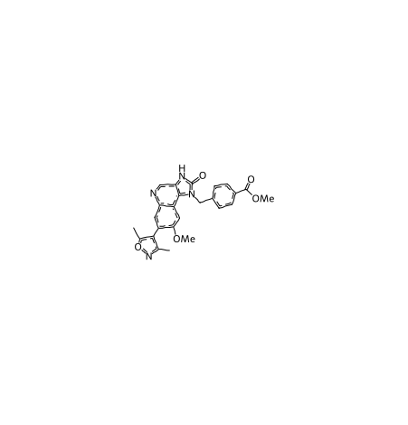 COC(=O)c1ccc(Cn2c(=O)[nH]c3cnc4cc(-c5c(C)noc5C)c(OC)cc4c32)cc1